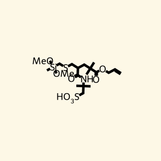 C=CCOC(=O)C(C)(C)CC(CSC[Si](C)(OC)OC)C(=O)NC(C)(C)CS(=O)(=O)O